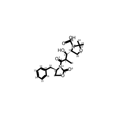 CC(C(=O)N1C(=O)OC[C@H]1Cc1ccccc1)C(O)[C@H]1COC(C)(C)N1C(=O)O